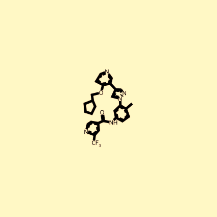 Cc1ccc(NC(=O)c2ccnc(C(F)(F)F)c2)cc1-n1cc(-c2cnccc2OCC2CCCC2)cn1